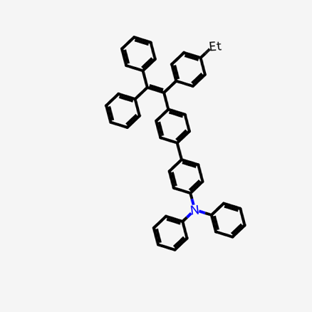 CCc1ccc(C(=C(c2ccccc2)c2ccccc2)c2ccc(-c3ccc(N(c4ccccc4)c4ccccc4)cc3)cc2)cc1